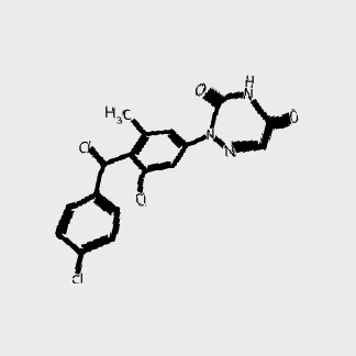 Cc1cc(-n2ncc(=O)[nH]c2=O)cc(Cl)c1C(Cl)c1ccc(Cl)cc1